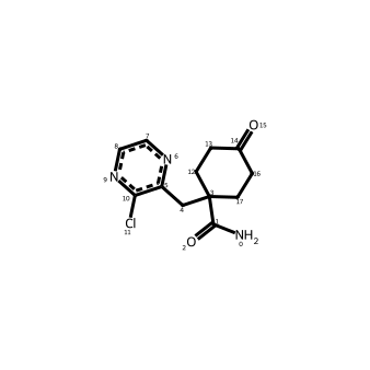 NC(=O)C1(Cc2nccnc2Cl)CCC(=O)CC1